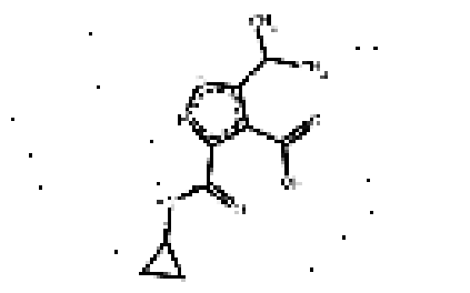 CC(C)c1onc(C(=O)NC2CC2)c1C(=O)O